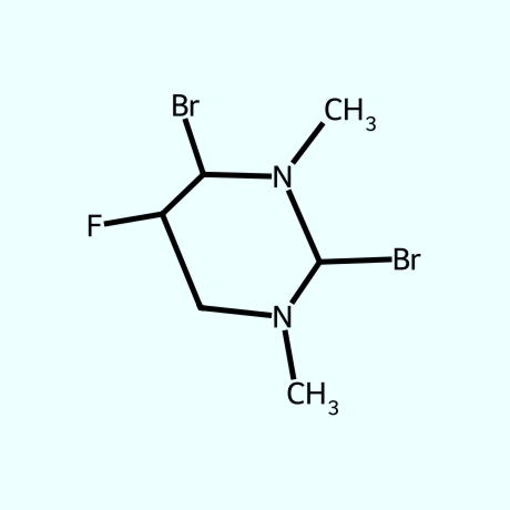 CN1CC(F)C(Br)N(C)C1Br